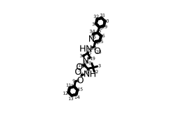 CC(C)(C)C(NC(=O)OCc1ccccc1)C(=O)N1CC(NC(=O)c2ccc(-c3ccccc3)cn2)C1